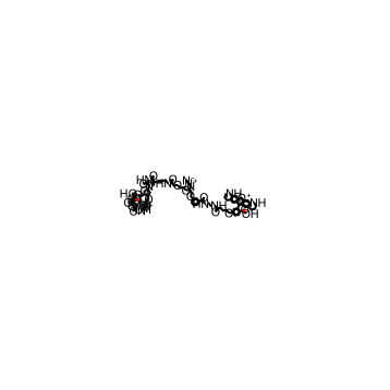 [N-]=[N+]=NCOC1CC(n2cc(C#CCNC(=O)COCCOC(COc3cccc(C(=O)NCCNC(=O)CCCOc4ccc(C(=O)O)c(-c5c6cc7c(cc6[o+]c6cc8c(cc56)CCCN8)NCCC7)c4)c3)N=[N+]=[N-])c(=O)[nH]c2=O)OC1COP(=O)(O)OP(=O)(O)OP(=O)(O)O